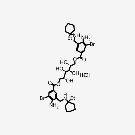 CCC1(NCc2cc(C(=O)OC[C@@H](O)[C@@H](O)[C@H](O)[C@H](O)COC(=O)c3cc(Br)c(N)c(CNC4(CC)CCCCC4)c3)cc(Br)c2N)CCCCC1.Cl.Cl